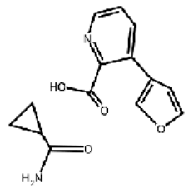 NC(=O)C1CC1.O=C(O)c1ncccc1-c1ccoc1